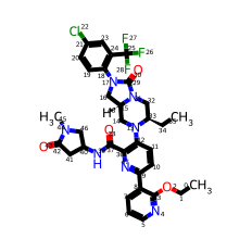 CCOc1ncccc1-c1ccc(N2C[C@H]3CN(c4ccc(Cl)cc4C(F)(F)F)C(=O)N3C[C@H]2CC)c(C(=O)NC2CC(=O)N(C)C2)n1